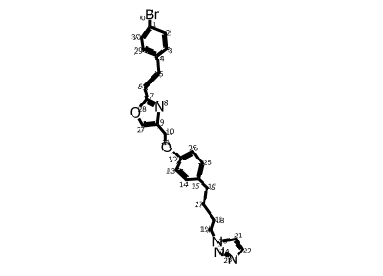 Brc1ccc(C=Cc2nc(COc3ccc(CCCCn4ccnn4)cc3)co2)cc1